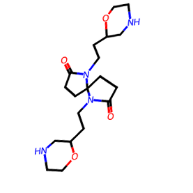 O=C1CCC2(CCC(=O)N2CCC2CNCCO2)N1CCC1CNCCO1